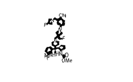 COC(=O)N[C@H]1CCC[C@@H]1[C@](CNC(C)=O)(c1cccc(F)c1)C1CCN(CC2(CF)CN(c3ccc(C#N)c(CN4CC(F)C4)c3)C2)CC1